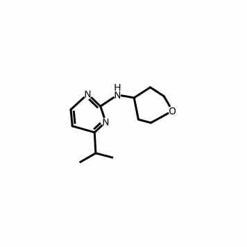 CC(C)c1ccnc(NC2CCOCC2)n1